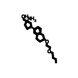 CCCCOCCO[C@H]1CCc2cc([C@H]3CC[C@](N)(CO)C3)ccc2C1